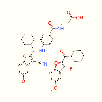 COc1ccc2oc(C(=O)C3CCCCC3)c(Br)c2c1.COc1ccc2oc(C(Nc3ccc(C(=O)NCCC(=O)O)cc3)C3CCCCC3)c(C#N)c2c1